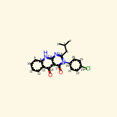 CC(C)Cc1nc2[nH]c3ccccc3c(=O)c2c(=O)n1-c1ccc(Cl)cc1